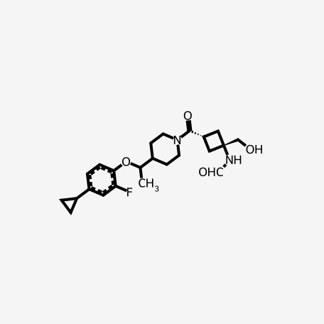 CC(Oc1ccc(C2CC2)cc1F)C1CCN(C(=O)[C@H]2C[C@@](CO)(NC=O)C2)CC1